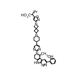 CC(C)C(C(=O)O)c1cc(N2CC3(CC(N4CCC(c5cnc(N6CCc7[nH]c8nnc(-c9ccccc9O)cc8c7[C@@H]6C)nc5)CC4)C3)C2)no1